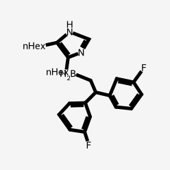 BCC(c1cccc(F)c1)c1cccc(F)c1.CCCCCCc1nc[nH]c1CCCCCC